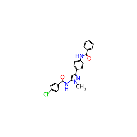 Cn1nc(-c2ccc(NC(=O)c3ccccc3)cc2)cc1NC(=O)c1ccc(Cl)cc1